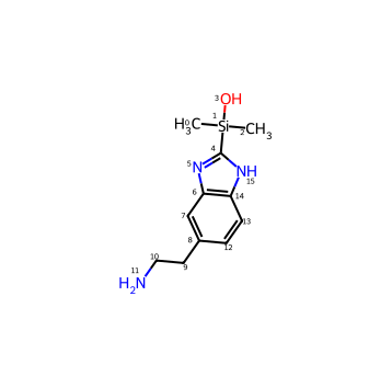 C[Si](C)(O)c1nc2cc(CCN)ccc2[nH]1